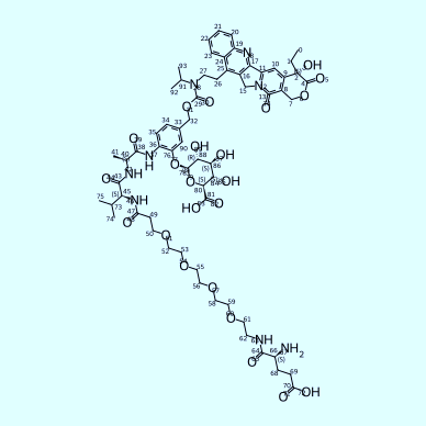 CC[C@@]1(O)C(=O)OCc2c1cc1n(c2=O)Cc2c-1nc1ccccc1c2CCN(C(=O)OCc1ccc(NC(=O)[C@H](C)NC(=O)[C@@H](NC(=O)CCOCCOCCOCCOCCNC(=O)[C@@H](N)CCC(=O)O)C(C)C)c(O[C@@H]2O[C@H](C(=O)O)[C@@H](O)[C@H](O)[C@H]2O)c1)C(C)C